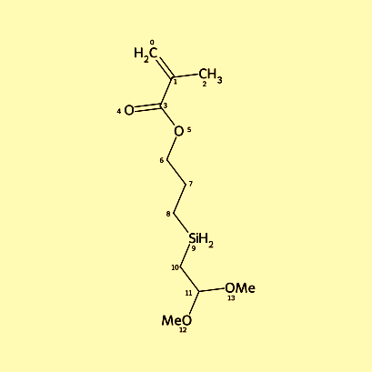 C=C(C)C(=O)OCCC[SiH2]CC(OC)OC